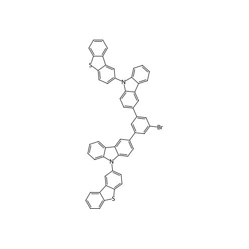 Brc1cc(-c2ccc3c(c2)c2ccccc2n3-c2ccc3sc4ccccc4c3c2)cc(-c2ccc3c(c2)c2ccccc2n3-c2ccc3sc4ccccc4c3c2)c1